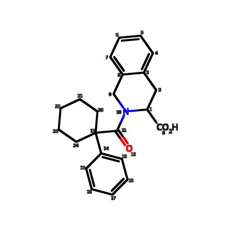 O=C(O)C1Cc2ccccc2CN1C(=O)C1(c2ccccc2)CCCCC1